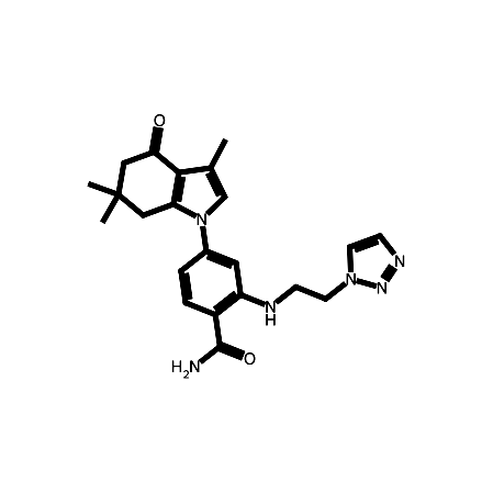 Cc1cn(-c2ccc(C(N)=O)c(NCCn3ccnn3)c2)c2c1C(=O)CC(C)(C)C2